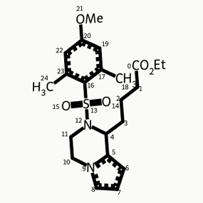 CCOC(=O)CCCC1c2cccn2CCN1S(=O)(=O)c1c(C)cc(OC)cc1C